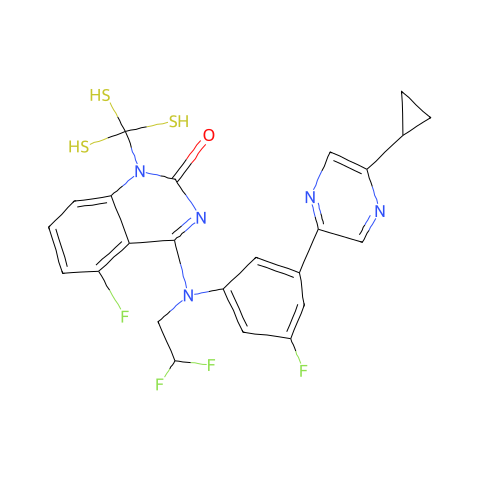 O=c1nc(N(CC(F)F)c2cc(F)cc(-c3cnc(C4CC4)cn3)c2)c2c(F)cccc2n1C(S)(S)S